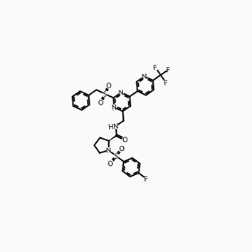 O=C(NCc1cc(-c2ccc(C(F)(F)F)nc2)nc(S(=O)(=O)Cc2ccccc2)n1)[C@@H]1CCCN1S(=O)(=O)c1ccc(F)cc1